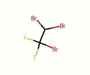 FC(F)(Br)C(Br)Br